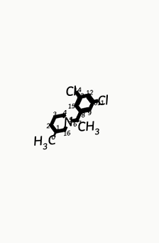 C[C@H]1CCCN([C@H](C)c2cc(Cl)cc(Cl)c2)C1